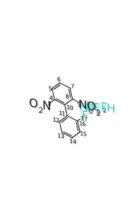 F.F.F.O=[N+]([O-])c1cccc([N+](=O)[O-])c1-c1ccccc1F